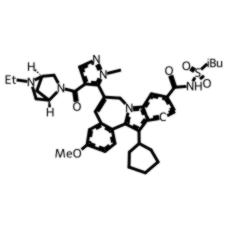 CCC(C)S(=O)(=O)NC(=O)c1ccc2c(C3CCCCC3)c3n(c2c1)CC(c1c(C(=O)N2C[C@H]4C[C@H]2CN4CC)cnn1C)=Cc1cc(OC)ccc1-3